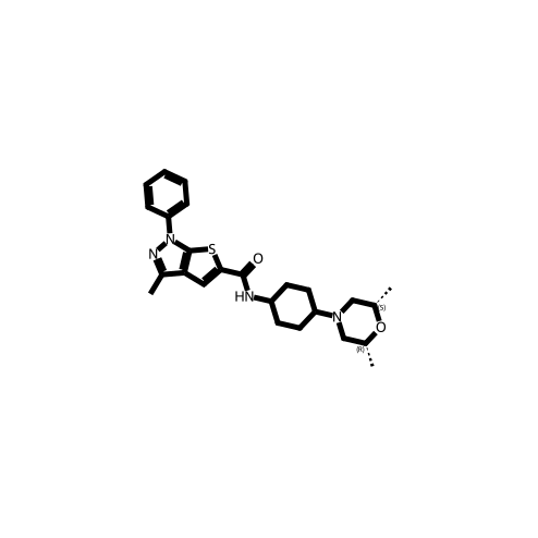 Cc1nn(-c2ccccc2)c2sc(C(=O)NC3CCC(N4C[C@@H](C)O[C@@H](C)C4)CC3)cc12